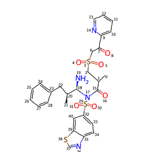 CC(CS(=O)(=O)CC(=O)c1ccccn1)C(=O)N([C@H](N)[C@@H](C)Cc1ccccc1)S(=O)(=O)c1ccc2ncsc2c1